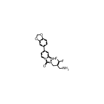 NCC(Cn1[nH]c2cc(-c3ccc4c(c3)OCO4)cc[n+]2c1=O)=C(F)F